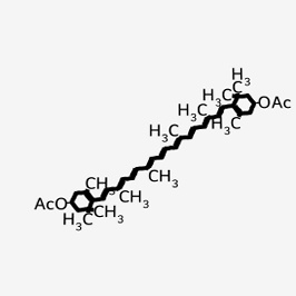 CC(=O)O[C@@H]1CC(C)=C(/C=C/C(C)=C/C=C/C(C)=C/C=C/C=C(C)/C=C/C=C(C)/C=C/C2=C(C)C[C@@H](OC(C)=O)CC2(C)C)C(C)(C)C1